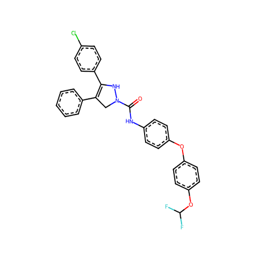 O=C(Nc1ccc(Oc2ccc(OC(F)F)cc2)cc1)N1CC(c2ccccc2)=C(c2ccc(Cl)cc2)N1